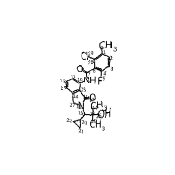 Cc1ccc(F)c(C(=O)Nc2cccc3c2C(=O)N(C(C2CC2)C(C)(C)O)C3)c1Cl